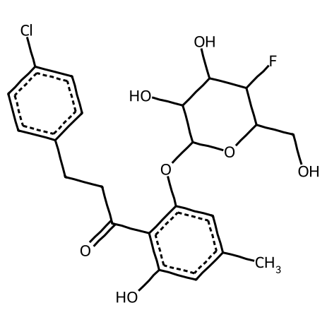 Cc1cc(O)c(C(=O)CCc2ccc(Cl)cc2)c(OC2OC(CO)C(F)C(O)C2O)c1